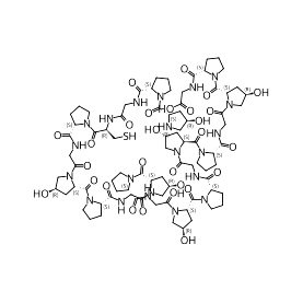 O=C(O)CNC(=O)[C@@H]1CCCN1C(=O)[C@@H]1C[C@@H](O)CN1C(=O)CNC(=O)[C@@H]1CCCN1C(=O)[C@@H]1C[C@@H](O)CN1C(=O)CNC(=O)[C@@H]1CCCN1C(=O)[C@@H]1C[C@@H](O)CN1C(=O)CNC(=O)[C@@H]1CCCN1C(=O)[C@@H]1C[C@@H](O)CN1C(=O)CNC(=O)[C@@H]1CCCN1C(=O)[C@@H]1C[C@@H](O)CN1C(=O)CNC(=O)[C@@H]1CCCN1C(=O)[C@H](CS)NC(=O)CNC(=O)[C@@H]1CCCN1C(=O)[C@@H]1C[C@@H](O)CN1